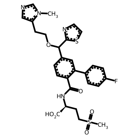 Cn1cncc1CCOC(c1ccc(C(=O)N[C@@H](CCS(C)(=O)=O)C(=O)O)c(-c2ccc(F)cc2)c1)c1nccs1